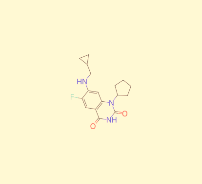 O=c1[nH]c(=O)n(C2CCCC2)c2cc(NCC3CC3)c(F)cc12